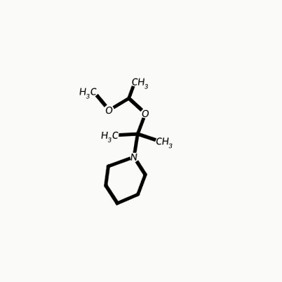 COC(C)OC(C)(C)N1CCCCC1